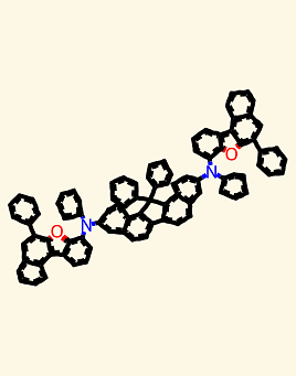 c1ccc(-c2cc3ccccc3c3c2oc2c(N(c4ccccc4)c4ccc5c6c(ccc5c4)-c4ccc5cc(N(c7ccccc7)c7cccc8c7oc7c(-c9ccccc9)cc9ccccc9c78)ccc5c4C6(c4ccccc4)c4ccccc4)cccc23)cc1